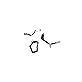 CC(C)(C)N(C(=O)O)[C@H]1CCC[C@H]1C(=O)NN